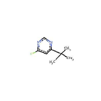 CC(C)(C)c1cc(F)ncn1